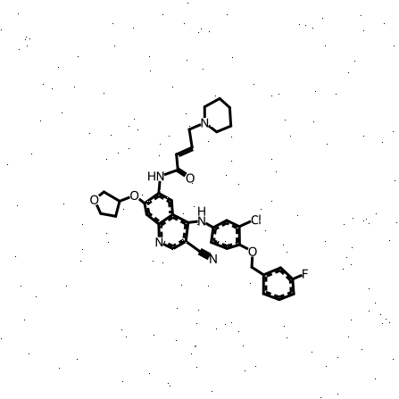 N#Cc1cnc2cc(OC3CCOC3)c(NC(=O)C=CCN3CCCCC3)cc2c1Nc1ccc(OCc2cccc(F)c2)c(Cl)c1